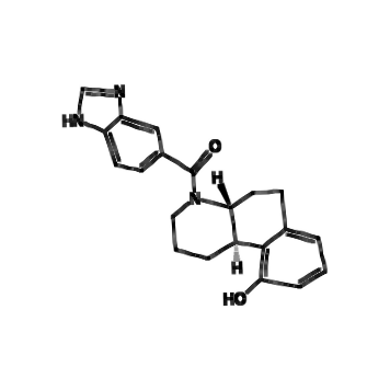 O=C(c1ccc2[nH]cnc2c1)N1CCC[C@@H]2c3c(O)cccc3CC[C@H]21